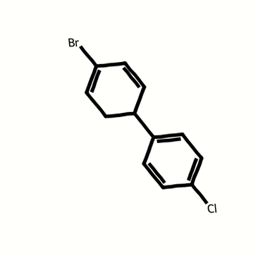 Clc1ccc(C2C=CC(Br)=CC2)cc1